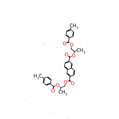 Cc1ccc(C(=O)OCC(C)OC(=O)c2ccc3cc(C(=O)OCC(C)OC(=O)c4ccc(C)cc4)ccc3c2)cc1